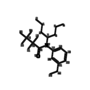 CCCC(CCC)N(C(=O)C(C)(C)C(C)(C)C)c1cccc(CC)c1